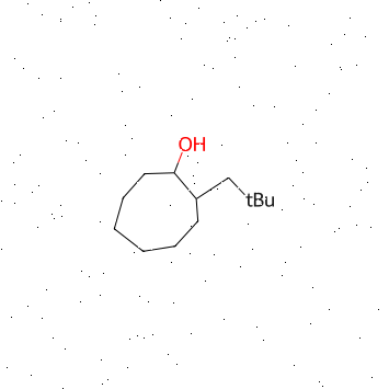 CC(C)(C)CC1CCCCCCC1O